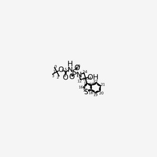 CC(C)(C)OC(=O)NS(=O)(=O)N1CC(O)(c2csc3ccccc23)C1